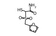 NC(=O)C(S)S(=O)(=O)Cc1ccco1